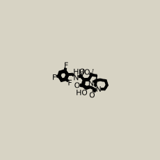 C[C@]1(O)C[C@@]23CCCCN(C2)C(=O)c2c(O)c(=O)c(C(=O)NCc4c(F)cc(F)cc4F)c1n23